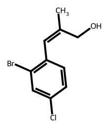 CC(=Cc1ccc(Cl)cc1Br)CO